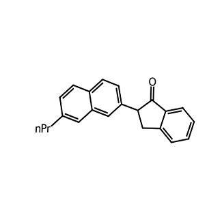 CCCc1ccc2ccc(C3Cc4ccccc4C3=O)cc2c1